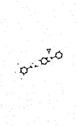 COc1cc(-c2nnc(Nc3cc4nc(-c5cccc(F)c5)n(C5CC5)c4cc3F)s2)cc(OC)c1OC